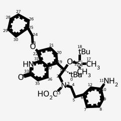 CC(C)(C)[C@@](CN(CCc1cccc(N)c1)C(=O)O)(O[Si](C)(C)C(C)(C)C)c1ccc(OCc2ccccc2)c2[nH]c(=O)ccc12